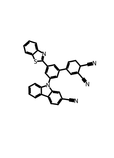 N#CC1=CC(c2cc(-c3nc4ccccc4s3)cc(-n3c4ccccc4c4ccc(C#N)cc43)c2)=CCC1C#N